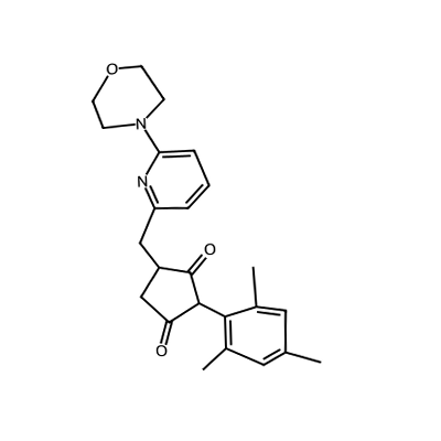 Cc1cc(C)c(C2C(=O)CC(Cc3cccc(N4CCOCC4)n3)C2=O)c(C)c1